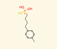 Cc1ccc(CCCC[PH](O)(O)S)cc1